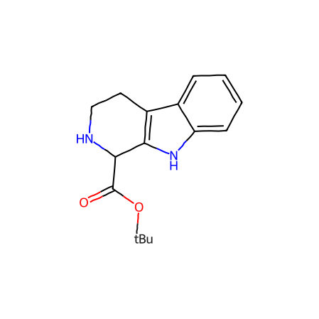 CC(C)(C)OC(=O)C1NCCc2c1[nH]c1ccccc21